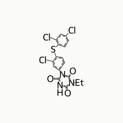 CCn1c(=O)[nH]c(=O)n(-c2ccc(Sc3ccc(Cl)cc3Cl)c(Cl)c2)c1=O